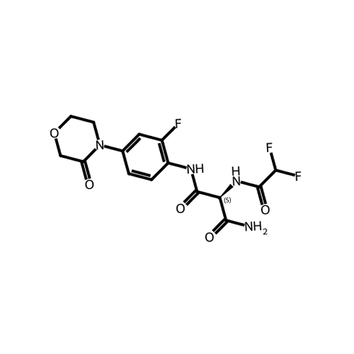 NC(=O)[C@H](NC(=O)C(F)F)C(=O)Nc1ccc(N2CCOCC2=O)cc1F